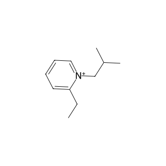 CCc1cccc[n+]1CC(C)C